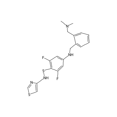 CN(C)Cc1ccccc1CNc1cc(F)c(SNc2cscn2)c(F)c1